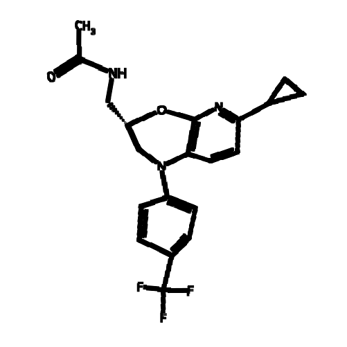 CC(=O)NC[C@H]1CN(c2ccc(C(F)(F)F)cc2)c2ccc(C3CC3)nc2O1